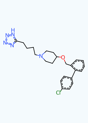 Clc1ccc(-c2ccccc2COC2CCN(CCCCc3nnn[nH]3)CC2)cc1